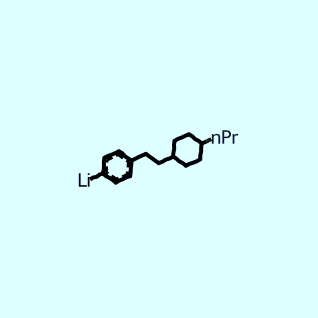 [Li][c]1ccc(CCC2CCC(CCC)CC2)cc1